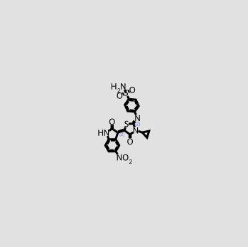 NS(=O)(=O)c1ccc(/N=C2\S/C(=C3\C(=O)Nc4ccc([N+](=O)[O-])cc43)C(=O)N2C2CC2)cc1